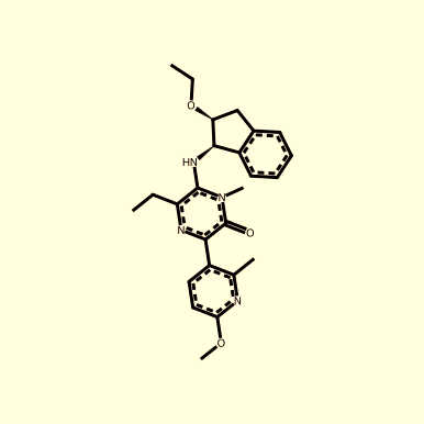 CCO[C@H]1Cc2ccccc2[C@H]1Nc1c(CC)nc(-c2ccc(OC)nc2C)c(=O)n1C